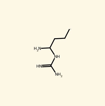 [CH2]CCC(N)NC(=N)N